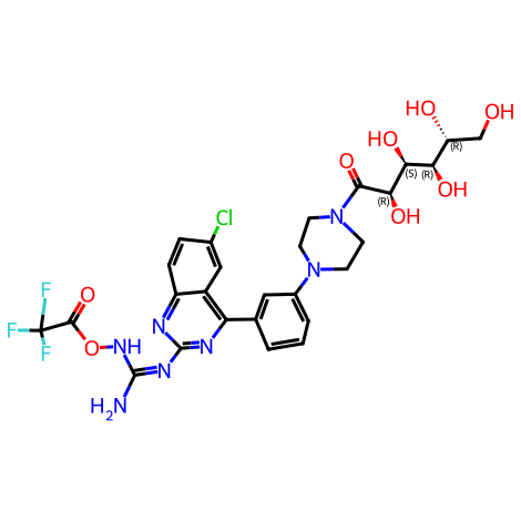 NC(=Nc1nc(-c2cccc(N3CCN(C(=O)[C@H](O)[C@@H](O)[C@H](O)[C@H](O)CO)CC3)c2)c2cc(Cl)ccc2n1)NOC(=O)C(F)(F)F